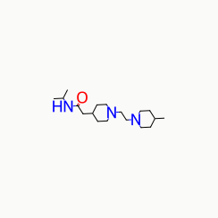 CC1CCN(CCN2CCC(CC(=O)NC(C)C)CC2)CC1